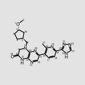 CO[C@H]1CC[C@H](CN2CC(=O)Nc3ncc(-c4ccc(-c5nnc[nH]5)nc4C)nc32)C1